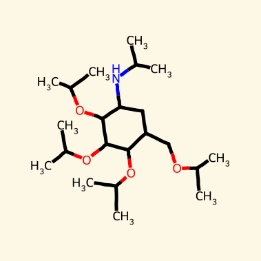 CC(C)NC1CC(COC(C)C)C(OC(C)C)C(OC(C)C)C1OC(C)C